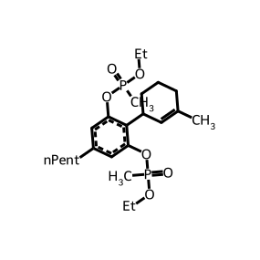 CCCCCc1cc(OP(C)(=O)OCC)c(C2C=C(C)CCC2)c(OP(C)(=O)OCC)c1